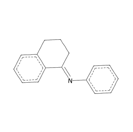 c1ccc(/N=C2\CCCc3ccccc32)cc1